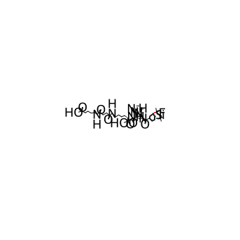 CC(C)(C)[Si](F)(c1ccc(C(=O)NC[C@H](N=[N+]=[N-])C(=O)N[C@H](CCCCNC(=O)CCC(=O)NCCCCC(=O)O)C(=O)O)cc1)C(C)(C)C